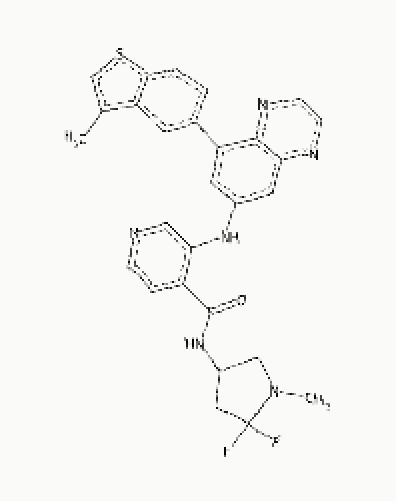 Cc1csc2ccc(-c3cc(Nc4cnccc4C(=O)NC4CN(C)C(F)(F)C4)cc4nccnc34)cc12